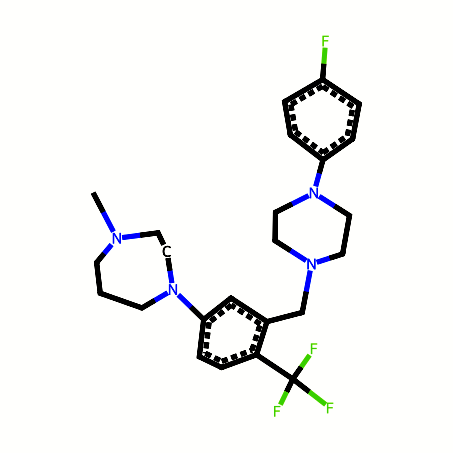 CN1CCCN(c2ccc(C(F)(F)F)c(CN3CCN(c4ccc(F)cc4)CC3)c2)CC1